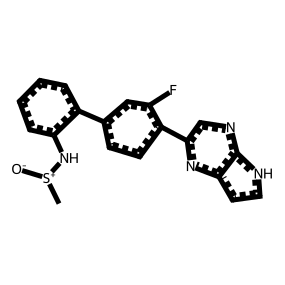 C[S+]([O-])Nc1ccccc1-c1ccc(-c2cnc3[nH]ccc3n2)c(F)c1